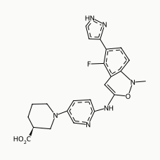 CN1OC(Nc2ccc(N3CCC[C@H](C(=O)O)C3)cn2)=Cc2c1ccc(-c1cc[nH]n1)c2F